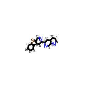 c1cnc2cnc(-c3cc4c(cn3)sc3ccccc34)cc2c1